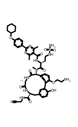 Cc1nc(-c2ccc(OC3CCCCC3)cc2)nc(C)c1C(=O)N[C@@H](CCNS(N)(=O)=O)C(=O)N(C)[C@@H]1C(=O)N[C@@H](C)C(=O)N[C@H](C(=O)NCC#N)Cc2ccc(O)c(c2)-c2cc1ccc2OCCN